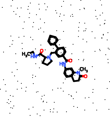 CCNC(=O)C1CCCN1Cc1cc(C(=O)Nc2ccc3c(c2)N(C)C(=O)CC3)ccc1-c1ccccc1